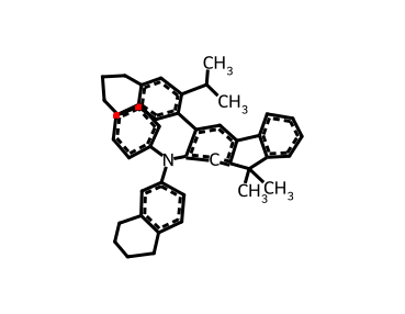 CC(C)c1cc2c(cc1-c1cc3c(cc1N(c1ccccc1)c1ccc4c(c1)CCCC4)C(C)(C)c1ccccc1-3)CCCC2